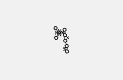 CC1(C)c2cc(-c3ccc4c(c3)sc3ccccc34)ccc2-c2cc3c(cc21)c1ccccc1n3-c1nc(-c2ccccc2)nc(-c2ccccc2)n1